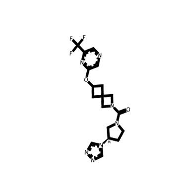 O=C(N1CC[C@@H](n2cnnc2)C1)N1CC2(CC(Oc3cncc(C(F)(F)F)n3)C2)C1